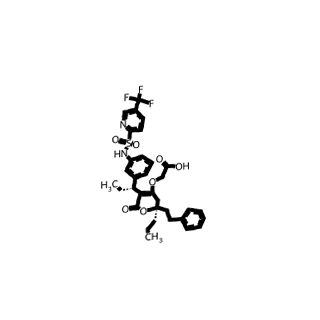 CCC[C@@]1(CCc2ccccc2)CC(OCC(=O)O)=C([C@H](CC)c2cccc(NS(=O)(=O)c3ccc(C(F)(F)F)cn3)c2)C(=O)O1